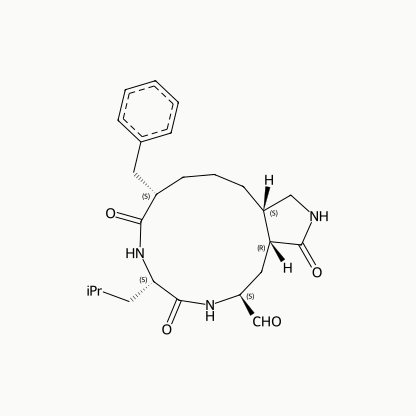 CC(C)C[C@@H]1NC(=O)[C@H](Cc2ccccc2)CCC[C@@H]2CNC(=O)[C@@H]2C[C@@H](C=O)NC1=O